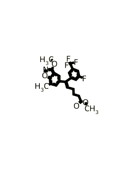 COC(=O)CCCC=C(c1cc(F)cc(C(F)(F)F)c1)c1cc(C)c2onc(OC)c2c1